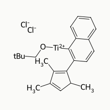 CC1=CC(C)C(c2ccc3ccccc3[c]2[Ti+2][O]CC(C)(C)C)=C1C.[Cl-].[Cl-]